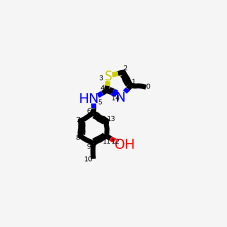 Cc1csc(Nc2ccc(C)c(O)c2)n1